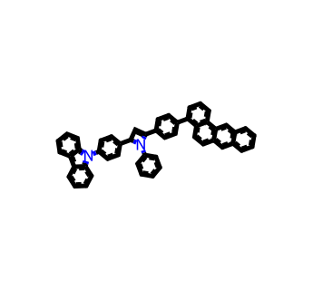 C1=C(c2ccc(-c3cccc4c3ccc3cc5ccccc5cc34)cc2)N(c2ccccc2)C1c1ccc(-n2c3ccccc3c3ccccc32)cc1